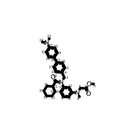 COC(=O)CN(C)c1cccc(N(Cc2ccc(-c3ccc(N(C)C)cc3)cc2)C(=O)C2CCCCC2)c1